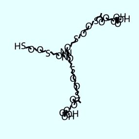 CC(CSCCOCCOCCSCCCOc1nc(OCCCSCCOCCOCCS)nc(OCCCSCCOCCOCCSCC(C)C(=O)OCCOP(=O)(O)O)n1)C(=O)OCCOP(=O)(O)O